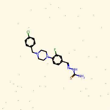 NC(=S)N/N=C/c1ccc(N2CCN(Cc3ccc(Cl)cc3)CC2)c(F)c1